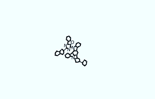 c1ccc(-c2ccc3c(c2)c2cc4c5ccccc5n(-c5nc(-c6ccc7ccccc7c6)nc6c5oc5ccccc56)c4c4c5ccccc5n3c24)cc1